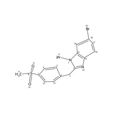 CC(C)n1c(Cc2ccc(S(C)(=O)=O)cc2)nc2ccc(Br)cc21